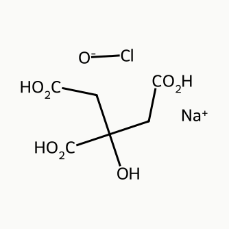 O=C(O)CC(O)(CC(=O)O)C(=O)O.[Na+].[O-]Cl